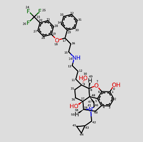 Oc1ccc2c3c1O[C@H]1[C@](O)(CCCNCCC(Oc4ccc(C(F)(F)F)cc4)c4ccccc4)CC[C@@]4(O)[C@@H](C2)N(CC2CC2)CC[C@]314